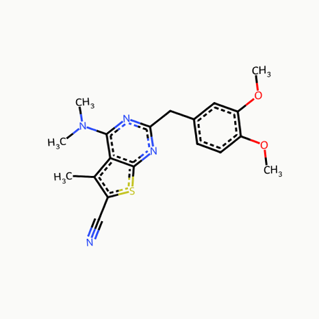 COc1ccc(Cc2nc(N(C)C)c3c(C)c(C#N)sc3n2)cc1OC